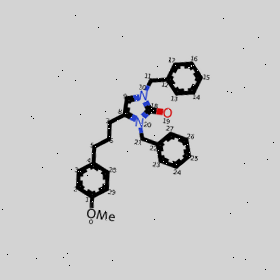 COc1ccc(CCCc2cn(Cc3ccccc3)c(=O)n2Cc2ccccc2)cc1